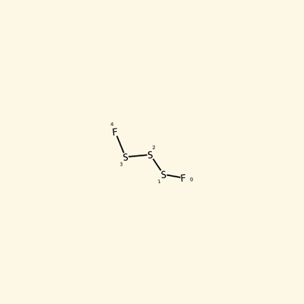 FSSSF